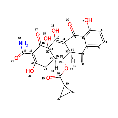 C=C1c2cccc(O)c2C(=O)C2=C(O)[C@]3(O)C(=O)C(C(N)=O)=C(O)C[C@@H]3[C@@H](OC(=O)C3CC3)[C@H]12